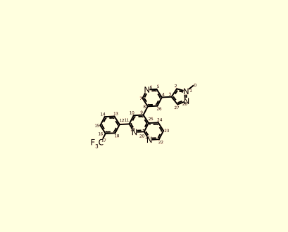 Cn1cc(-c2cncc(-c3cc(-c4cccc(C(F)(F)F)c4)nc4ncccc34)c2)cn1